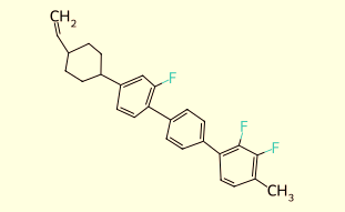 C=CC1CCC(c2ccc(-c3ccc(-c4ccc(C)c(F)c4F)cc3)c(F)c2)CC1